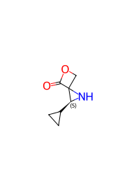 O=C1OCC12N[C@H]2C1CC1